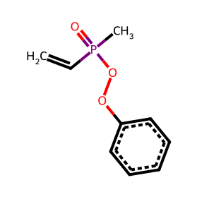 C=CP(C)(=O)OOc1ccccc1